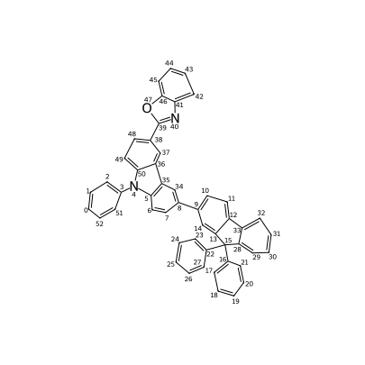 c1ccc(-n2c3ccc(-c4ccc5c(c4)C(c4ccccc4)(c4ccccc4)c4ccccc4-5)cc3c3cc(-c4nc5ccccc5o4)ccc32)cc1